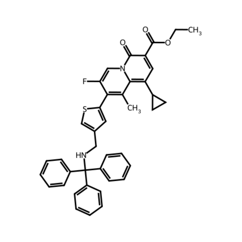 CCOC(=O)c1cc(C2CC2)c2c(C)c(-c3cc(CNC(c4ccccc4)(c4ccccc4)c4ccccc4)cs3)c(F)cn2c1=O